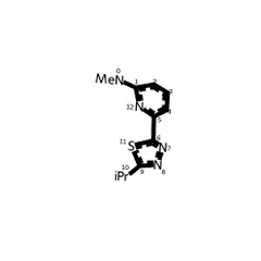 CNc1cccc(-c2nnc(C(C)C)s2)n1